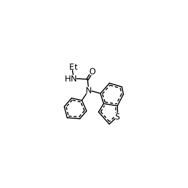 CCNC(=O)N(c1ccccc1)c1cccc2sccc12